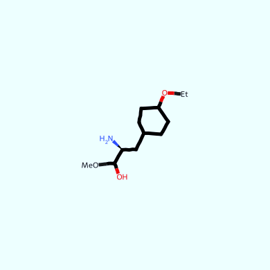 CCOC1CCC(C[C@H](N)C(O)OC)CC1